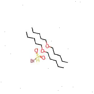 CCCCCOCCCCC.CCCCCOCCCCC.O=[SH](=O)Br